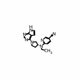 CCN(c1ccc(C#N)cn1)[C@@H]1CCN(c2ncnc3[nH]ccc23)C1